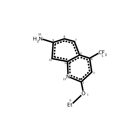 CCOc1cc(C(F)(F)F)c2ccc(N)cc2n1